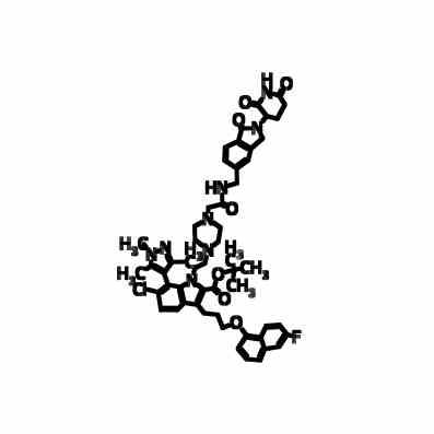 Cc1nn(C)c(C)c1-c1c(Cl)ccc2c(CCCOc3cccc4cc(F)ccc34)c(C(=O)OC(C)(C)C)n(CCN3CCN(CC(=O)NCc4ccc5c(c4)CN(C4CCC(=O)NC4=O)C5=O)CC3)c12